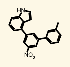 Cc1cccc(-c2cc(-c3cccc4[nH]ccc34)cc([N+](=O)[O-])c2)c1